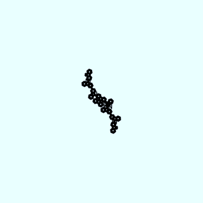 CC1(C)c2ccccc2-c2ccc(-n3c4ccccc4c4cc(-c5ccc6c(c5)c5ccccc5n6-c5ccc6c(c5)C5(c7ccccc7-c7ccccc75)c5cc(-c7nc(-n8c9ccccc9c9cc(-c%10ccc%11c(c%10)c%10ccccc%10n%11-c%10ccc%11c(c%10)C(C)(C)c%10ccccc%10-%11)ccc98)nc8ccccc78)ccc5-6)ccc43)cc21